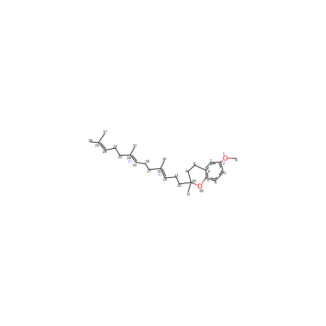 COc1ccc2c(c1)CCC(C)(CC/C=C(\C)CC/C=C(\C)CCC=C(C)C)O2